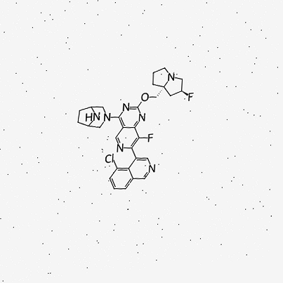 Fc1c(-c2cncc3cccc(Cl)c23)ncc2c(N3CC4CCC(C3)N4)nc(OC[C@]34CCCN3C[C@@H](F)C4)nc12